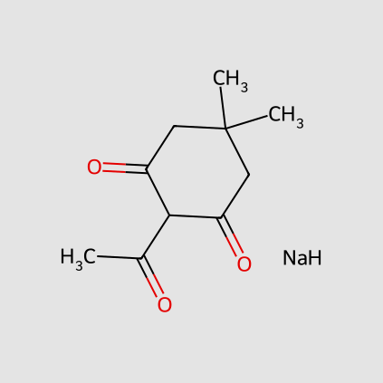 CC(=O)C1C(=O)CC(C)(C)CC1=O.[NaH]